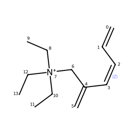 C=C/C=C\C(=C)C[N+](CC)(CC)CC